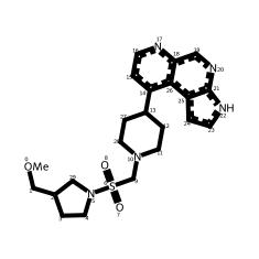 COCC1CCN(S(=O)(=O)CN2CCC(c3ccnc4cnc5[nH]ccc5c34)CC2)C1